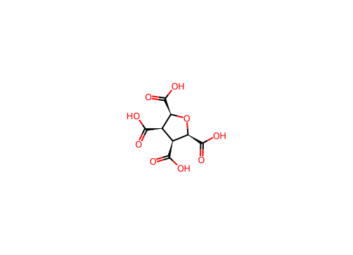 O=C(O)[C@@H]1[C@H](C(=O)O)[C@H](C(=O)O)O[C@@H]1C(=O)O